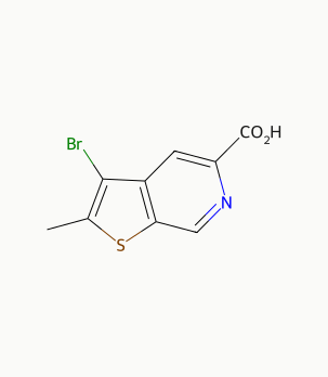 Cc1sc2cnc(C(=O)O)cc2c1Br